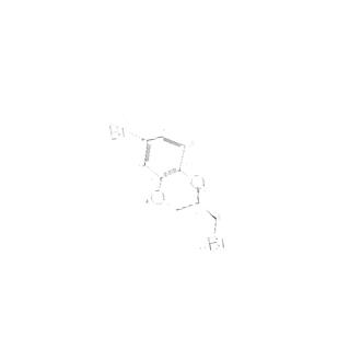 BrC[C@H]1COc2cc(Br)ccc2O1